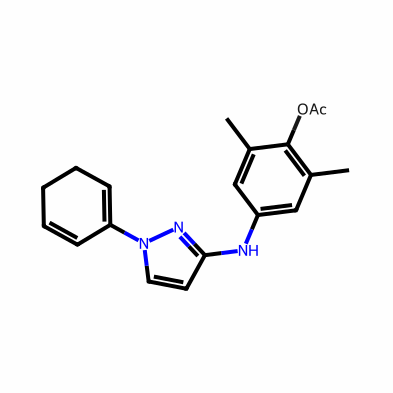 CC(=O)Oc1c(C)cc(Nc2ccn(C3=CCCC=C3)n2)cc1C